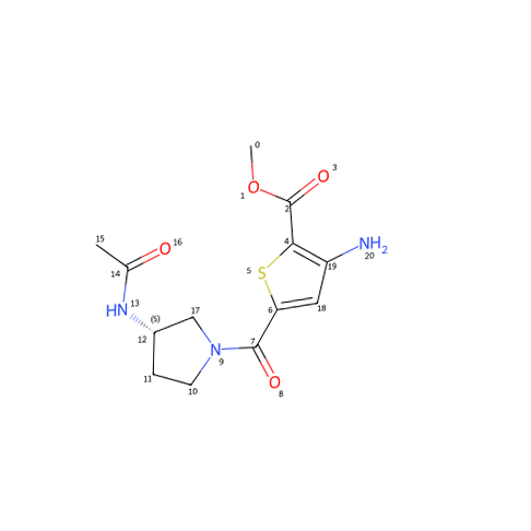 COC(=O)c1sc(C(=O)N2CC[C@H](NC(C)=O)C2)cc1N